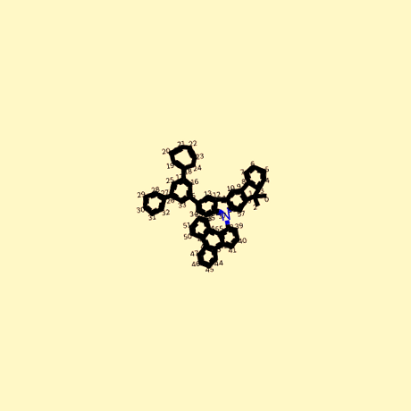 CC1(C)c2ccccc2-c2cc3c4cc(-c5cc(C6=CC=CC=CC6)cc(-c6ccccc6)c5)ccc4n(-c4cccc5c6ccccc6c6ccccc6c45)c3cc21